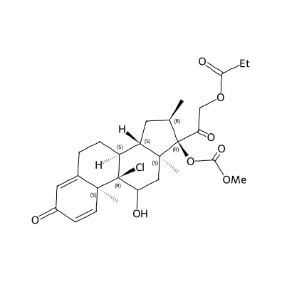 CCC(=O)OCC(=O)[C@@]1(OC(=O)OC)[C@H](C)C[C@H]2[C@@H]3CCC4=CC(=O)C=C[C@]4(C)[C@@]3(Cl)C(O)C[C@@]21C